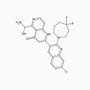 NC(O)c1nccc2[nH]c(-c3cc4ccc(F)cc4nc3N3CCCC(F)(F)CC3)cc(=O)c12